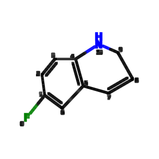 Fc1ccc2c(c1)C=CCN2